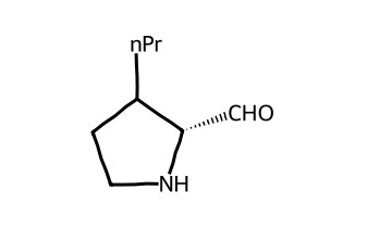 CCCC1CCN[C@H]1C=O